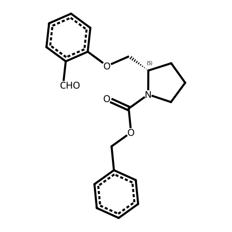 O=Cc1ccccc1OC[C@@H]1CCCN1C(=O)OCc1ccccc1